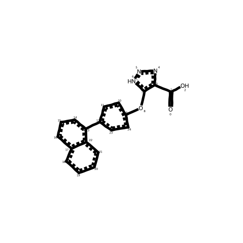 O=C(O)c1nn[nH]c1Oc1ccc(-c2cccc3ccccc23)cc1